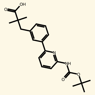 CC(C)(C)OC(=O)Nc1cccc(-c2cccc(CC(C)(C)C(=O)O)c2)n1